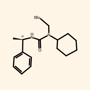 C[C@@H](NC(=O)N(CC(C)(C)C)C1CCCCC1)c1ccccc1